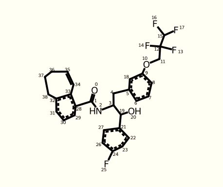 O=C(NC(Cc1cccc(OCC(F)(F)C(F)F)c1)C(O)c1ccc(F)cc1)c1cccc2c1C=CCCC2